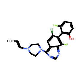 O=CC=CN1CCN(c2ncnc3c(F)c(-c4c(O)cccc4F)c(Cl)cc23)CC1